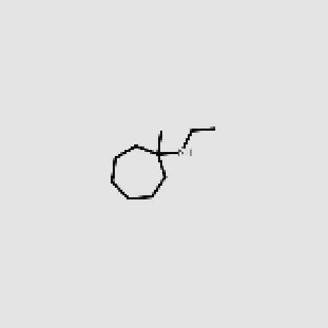 [CH2]C1(NCC)CCCCCC1